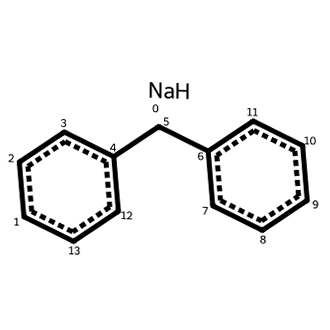 [NaH].c1ccc(Cc2ccccc2)cc1